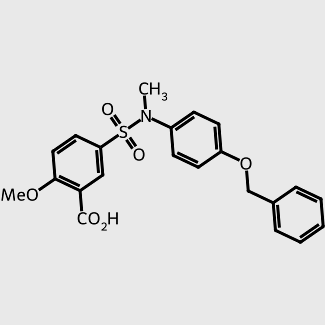 COc1ccc(S(=O)(=O)N(C)c2ccc(OCc3ccccc3)cc2)cc1C(=O)O